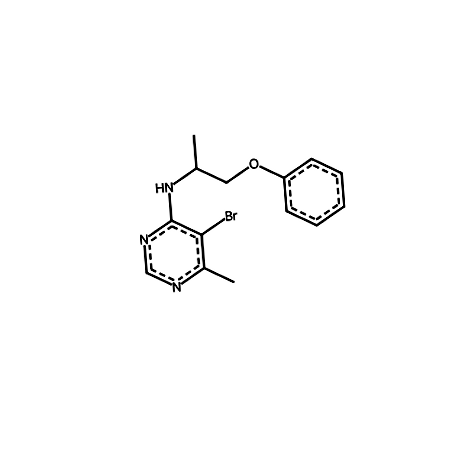 Cc1ncnc(NC(C)COc2ccccc2)c1Br